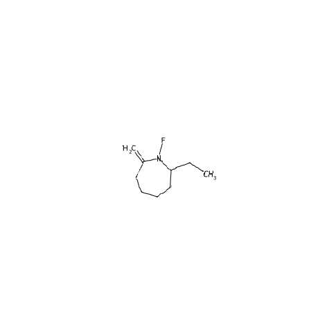 C=C1CCCCC(CC)N1F